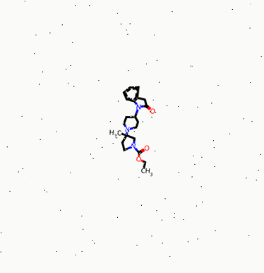 CCOC(=O)N1CCC(C)(N2CCC(N3C(=O)Cc4ccccc43)CC2)C1